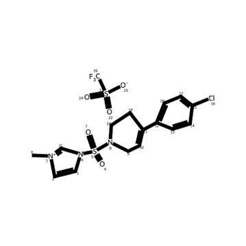 C[n+]1ccn(S(=O)(=O)N2CC=C(c3ccc(Cl)cc3)CC2)c1.O=S(=O)([O-])C(F)(F)F